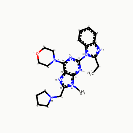 CCc1nc2ccccc2n1-c1nc(N2CCOCC2)c2nc(CN3CCCC3)n(C)c2n1